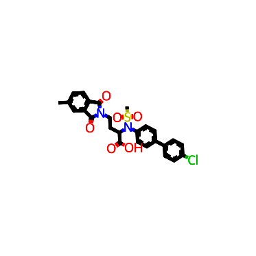 Cc1ccc2c(c1)C(=O)N(CCC(C(=O)O)N(c1ccc(-c3ccc(Cl)cc3)cc1)S(C)(=O)=O)C2=O